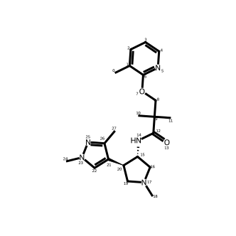 Cc1cccnc1OCC(C)(C)C(=O)N[C@@H]1CN(C)C[C@H]1c1cn(C)nc1C